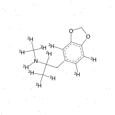 [2H]c1c([2H])c2c(c([2H])c1CC([2H])(N([2H])C([2H])([2H])[2H])C([2H])([2H])[2H])OCO2